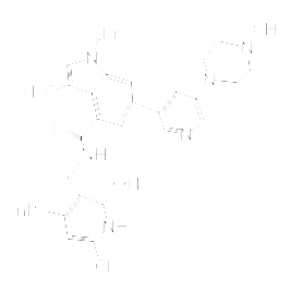 CCCC1=C(CNC(=O)c2cc(-c3cncc(N4CCN(C)CC4)c3)cc3c2c(C)cn3C(C)C)C(O)NC(C)=C1